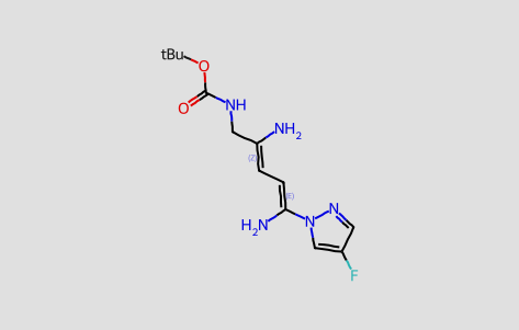 CC(C)(C)OC(=O)NC/C(N)=C/C=C(\N)n1cc(F)cn1